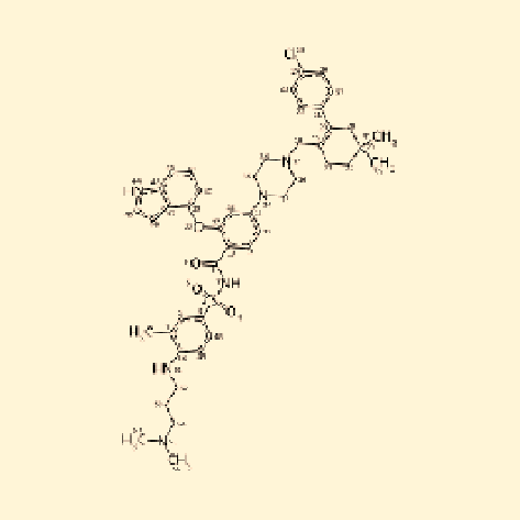 Cc1cc(S(=O)(=O)NC(=O)c2ccc(N3CCN(CC4=C(c5ccc(Cl)cc5)CC(C)(C)CC4)CC3)cc2Oc2cccc3[nH]ccc23)ccc1NCCCN(C)C